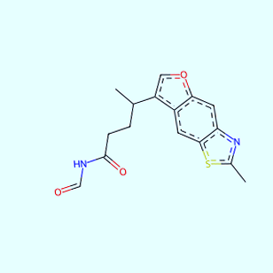 Cc1nc2cc3occ(C(C)CCC(=O)NC=O)c3cc2s1